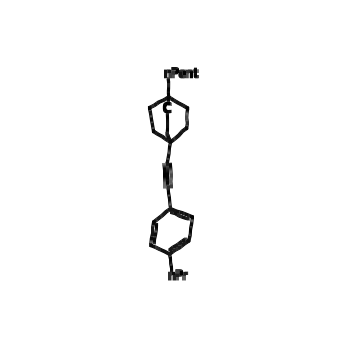 CCCCCC12CCC(C#Cc3ccc(CCC)cc3)(CC1)CC2